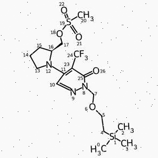 C[Si](C)(C)CCOCn1ncc(N2CCC[C@H]2COS(C)(=O)=O)c(C(F)(F)F)c1=O